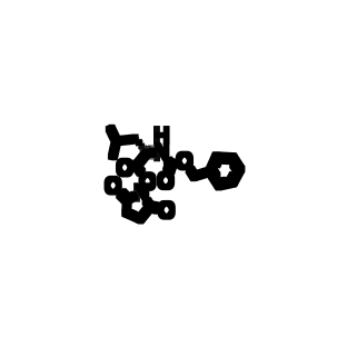 CC(C)C[C@H](NC(=O)OCc1ccccc1)C(=O)ON1C(=O)CCC1=O